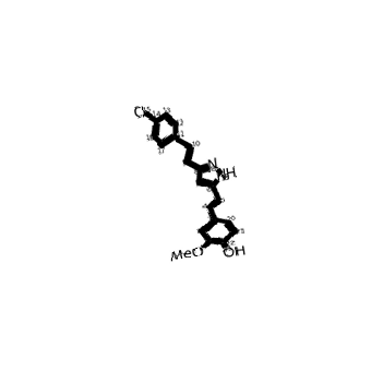 COc1cc(C=Cc2cc(/C=C/c3ccc(Cl)cc3)n[nH]2)ccc1O